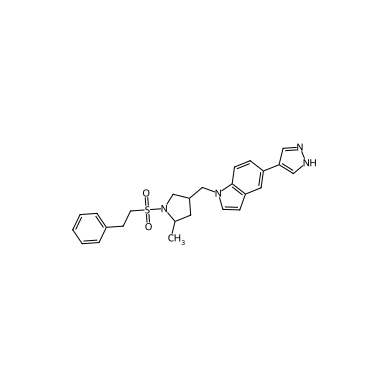 CC1CC(Cn2ccc3cc(-c4cn[nH]c4)ccc32)CN1S(=O)(=O)CCc1ccccc1